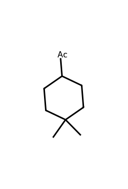 [CH2]C(=O)C1CCC(C)(C)CC1